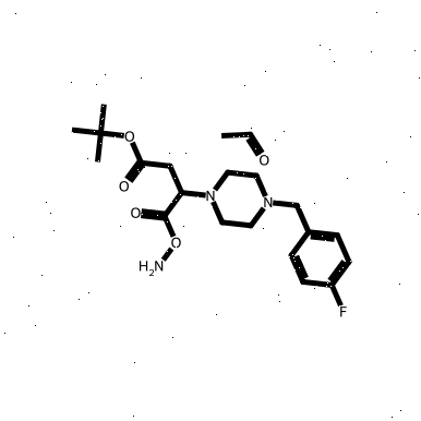 CC(C)(C)OC(=O)CC(C(=O)ON)N1CCN(Cc2ccc(F)cc2)CC1.CC=O